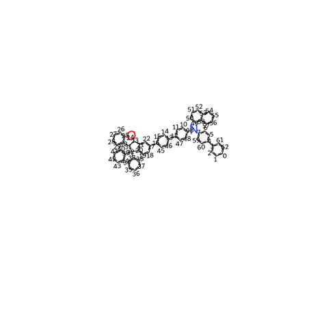 c1ccc(-c2ccc(N(c3ccc(-c4ccc(-c5ccc6c(c5)C5Oc7ccccc7C5C6(c5ccccc5)c5ccccc5)cc4)cc3)c3cccc4ccccc34)cc2)cc1